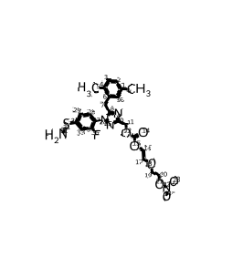 Cc1ccc(C)c(Cc2nc(COC(=O)OCCOCCO[N+](=O)[O-])nn2-c2ccc(SN)cc2F)c1